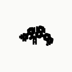 CC(Nc1cc(-c2ccc3ccn(C)c3c2)c2nccnc2c1)c1cnccc1-c1cnn(C)c1